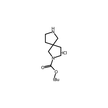 CC(C)(C)OC(=O)N1CCC2(CCNC2)C1.Cl